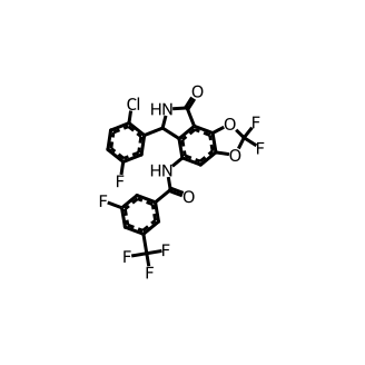 O=C(Nc1cc2c(c3c1C(c1cc(F)ccc1Cl)NC3=O)OC(F)(F)O2)c1cc(F)cc(C(F)(F)F)c1